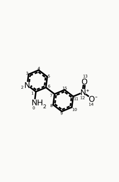 Nc1ncccc1-c1cccc([N+](=O)[O-])c1